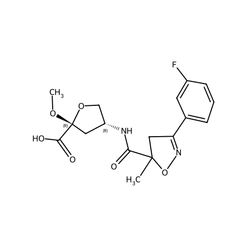 CO[C@]1(C(=O)O)C[C@@H](NC(=O)C2(C)CC(c3cccc(F)c3)=NO2)CO1